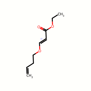 C=CCCO/C=C/C(=O)OCC